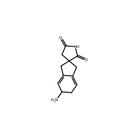 NC1C=C2CC3(CC(=O)NC3=O)CC2=CC1